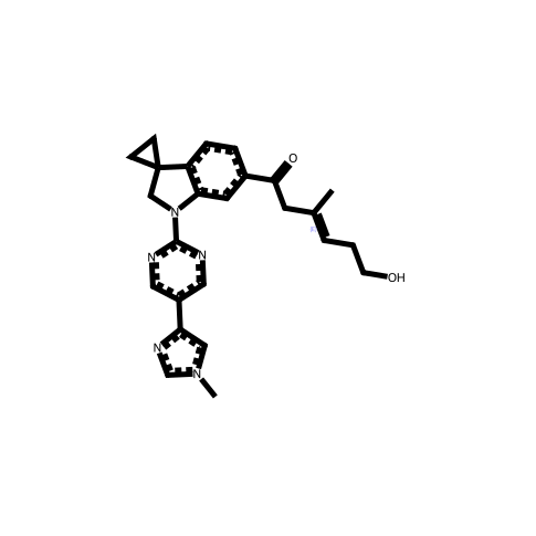 C/C(=C\CCO)CC(=O)c1ccc2c(c1)N(c1ncc(-c3cn(C)cn3)cn1)CC21CC1